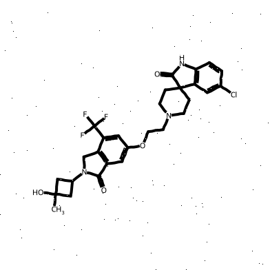 CC1(O)CC(N2Cc3c(cc(OCCN4CCC5(CC4)C(=O)Nc4ccc(Cl)cc45)cc3C(F)(F)F)C2=O)C1